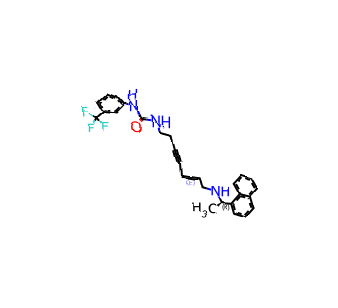 C[C@@H](NC/C=C/C#CCCNC(=O)Nc1cccc(C(F)(F)F)c1)c1cccc2ccccc12